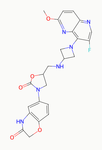 COc1ccc2ncc(F)c(N3CC(NCC4CN(c5ccc6c(c5)NC(=O)CO6)C(=O)O4)C3)c2n1